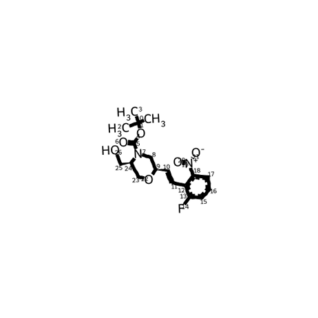 CC(C)(C)OC(=O)N1C[C@@H](/C=C/c2c(F)cccc2[N+](=O)[O-])OC[C@H]1CO